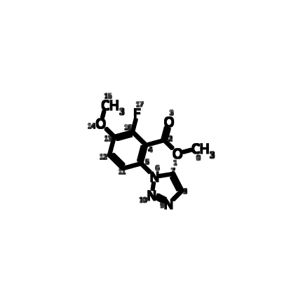 COC(=O)c1c(-n2ccnn2)ccc(OC)c1F